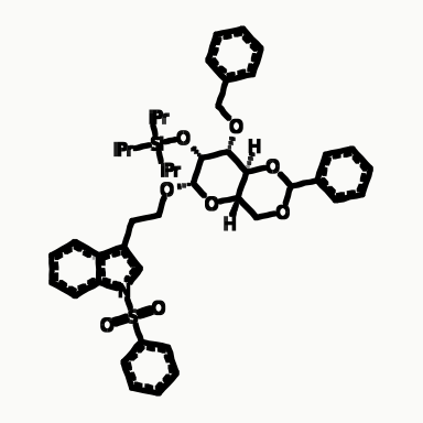 CC(C)[Si](O[C@H]1[C@@H](OCCc2cn(S(=O)(=O)c3ccccc3)c3ccccc23)O[C@H]2COC(c3ccccc3)O[C@@H]2[C@H]1OCc1ccccc1)(C(C)C)C(C)C